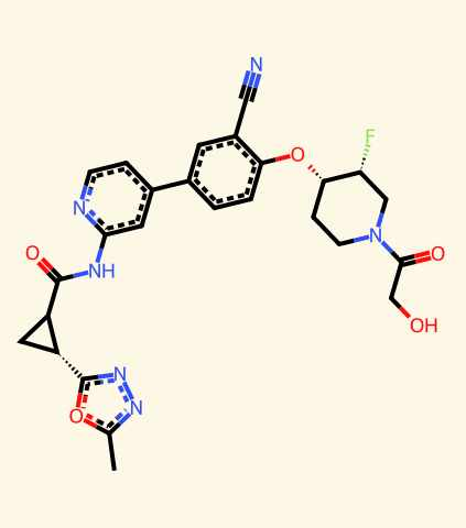 Cc1nnc([C@@H]2CC2C(=O)Nc2cc(-c3ccc(O[C@H]4CCN(C(=O)CO)C[C@H]4F)c(C#N)c3)ccn2)o1